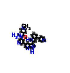 CN1CCC(C(=O)N(N)c2cncc(-c3cnc4[nH]nc(-c5cc6c(-c7ccncc7)cccc6[nH]5)c4c3)c2)CC1